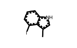 Cc1c[nH]c2cccc(I)c12